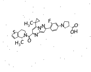 C[C@@H]1c2ccsc2CCN1C(=O)c1cc(C2(C)CC2)n2nc(-c3ccc(N4CC[C@H](C(=O)O)C4)cc3F)cc2n1